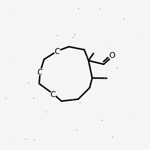 CC1CCCCCCCCCCC1(C)C=O